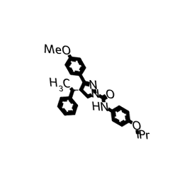 COc1ccc(C2=NN(C(=O)Nc3ccc(OC(C)C)cc3)C[C@@H]2C(C)c2ccccc2)cc1